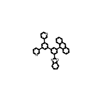 c1cncc(-c2cc(-c3cccnc3)cc(-c3cc(-c4nc5ccccc5o4)cc(-c4c5ccccc5cc5ccccc45)c3)c2)c1